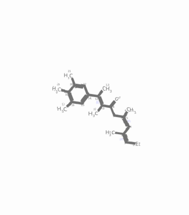 CC/C=C(C)\C=C(\C)CC(=O)/C(C)=C(\C)c1cc(C)c(C)c(C)c1